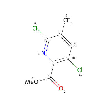 COC(=O)c1nc(Cl)c(C(F)(F)F)cc1Cl